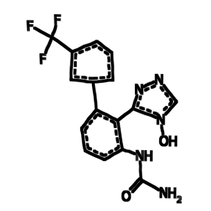 NC(=O)Nc1cccc(-c2cccc(C(F)(F)F)c2)c1-c1nncn1O